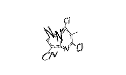 Cc1c(Cl)nc2c(C#N)cnn2c1Cl